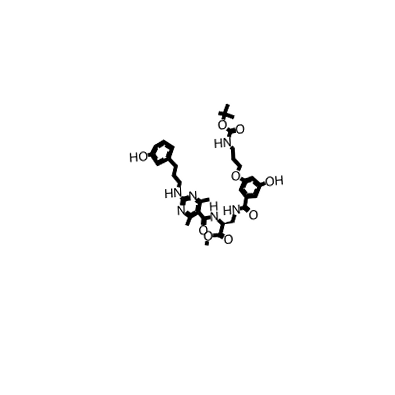 COC(=O)[C@H](CNC(=O)c1cc(O)cc(OCCCNC(=O)OC(C)(C)C)c1)NC(=O)c1c(C)nc(NCCCc2cccc(O)c2)nc1C